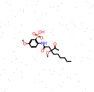 CCCCCCC(CC(=O)Nc1ccc(OC)cc1S(=O)(=O)O)(OC)C(C)=O